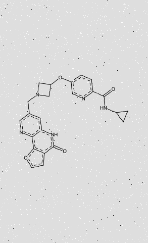 O=C(NC1CC1)c1ccc(OC2CN(Cc3cnc4c(c3)[nH]c(=O)c3ccoc34)C2)cn1